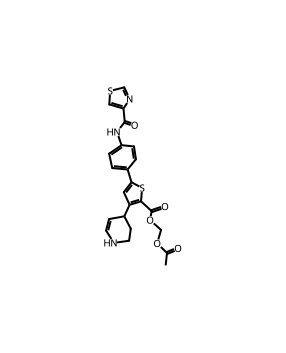 CC(=O)OCOC(=O)c1sc(-c2ccc(NC(=O)c3cscn3)cc2)cc1C1C=CNCC1